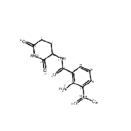 Nc1c(C(=O)NC2CCC(=O)NC2=O)cccc1[N+](=O)[O-]